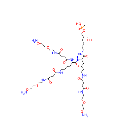 CP(=O)(O)OCC(CO)CCCCNC(=O)C(CCCCNC(=O)CCC(=O)NCCOCCON)NC(=O)C(CCCCNC(=O)CCC(=O)NCCOCCON)NC(=O)CCC(=O)NCCOCCON